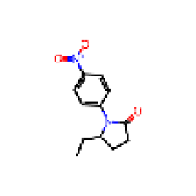 CCC1CCC(=O)N1c1ccc([N+](=O)[O-])cc1